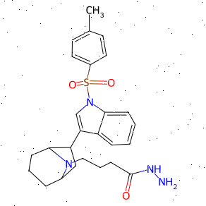 Cc1ccc(S(=O)(=O)n2cc(C3CC4CCCC3N4CCCC(=O)NN)c3ccccc32)cc1